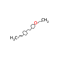 C=CCCOC1CCC(CCC2CCC(C=CCC)CC2)CC1